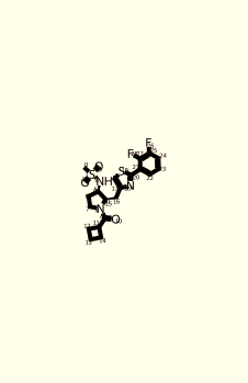 CS(=O)(=O)N[C@@H]1CCN(C(=O)C2CCC2)[C@@H]1Cc1csc(-c2cccc(F)c2F)n1